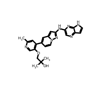 Cc1cc(-c2ccn3nc(Nc4cnc5cc[nH]c5n4)cc3c2)c(OCC(C)(C)O)cn1